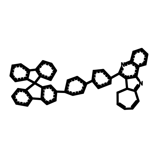 C1=CCC2C(=Nc3c2c(-c2ccc(-c4ccc(-c5ccc6c(c5)C5(c7ccccc7-c7ccccc75)c5ccccc5-6)cc4)cc2)nc2ccccc32)C=C1